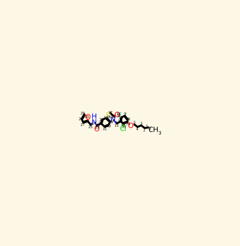 CCCCCCOc1ccc(F)c(CN2C(=O)CSc3cc(C(=O)NCc4ccco4)ccc32)c1Cl